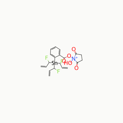 C=C[CH](F)[Sn]([c]1ccccc1C(=O)O[N+]1(O)C(=O)CCC1=O)([CH](F)C=C)[CH](F)C=C